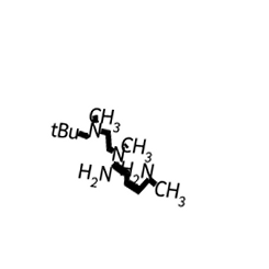 CC(N)/C=C\C=C(/N)N(C)CCN(C)CC(C)(C)C